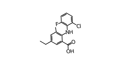 CCc1cc(C)c(Nc2c(F)cccc2Cl)c(C(=O)O)c1